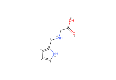 O=C(O)CNCc1ccc[nH]1